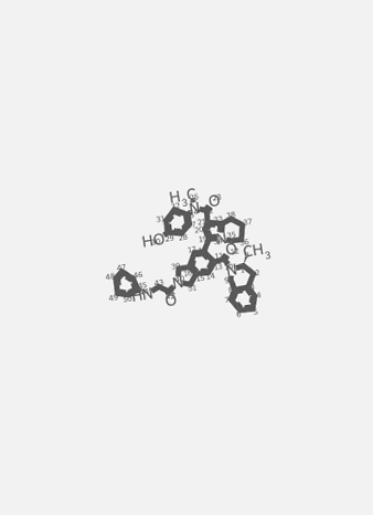 C[C@@H]1Cc2ccccc2CN1C(=O)c1cc2c(cc1-c1cc(C(=O)N(C)c3ccc(O)cc3)c3n1CCCC3)CN(C(=O)CNc1ccccc1)C2